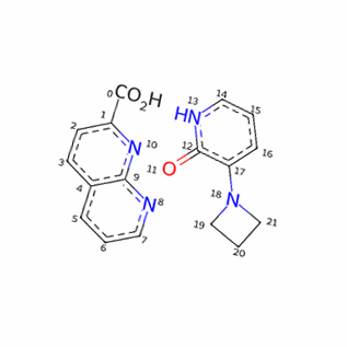 O=C(O)c1ccc2cccnc2n1.O=c1[nH]cccc1N1CCC1